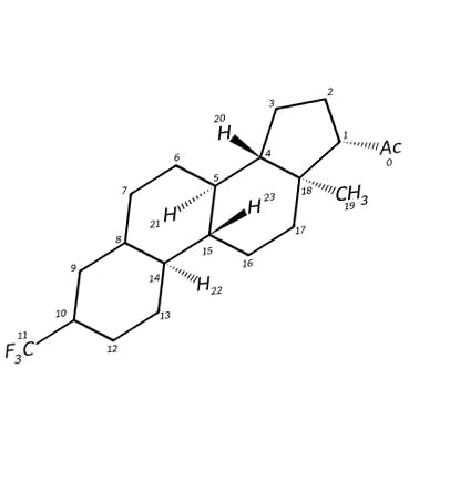 CC(=O)[C@H]1CC[C@H]2[C@@H]3CCC4CC(C(F)(F)F)CC[C@@H]4[C@H]3CC[C@]12C